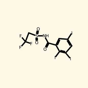 O=C(NS(=O)(=O)CC(F)(F)F)c1cc(I)cc(I)c1I